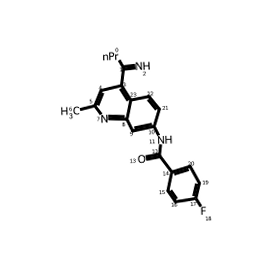 CCCC(=N)c1cc(C)nc2cc(NC(=O)c3ccc(F)cc3)ccc12